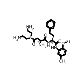 CCOc1ccc(C)cc1NC(=O)[C@H](CCc1ccccc1)NC(=O)[C@@H](N)CC(=O)N(CCN)CCN